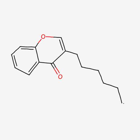 [CH2]CCCCCc1coc2ccccc2c1=O